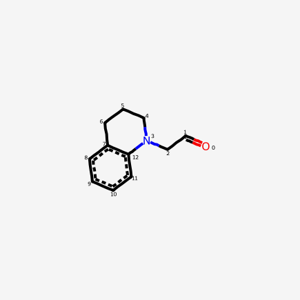 O=[C]CN1CCCc2ccccc21